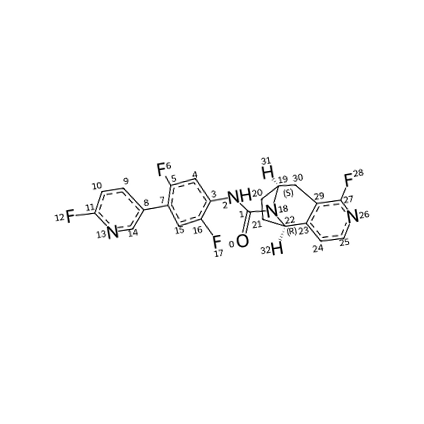 O=C(Nc1cc(F)c(-c2ccc(F)nc2)cc1F)N1[C@H]2CC[C@@H]1c1ccnc(F)c1C2